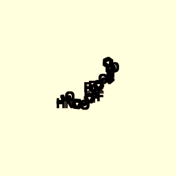 C=CC(=C)C(=O)Nc1ccc(Oc2ccc(C(c3ccc(O[C@@H]4CC=C4N4COc5ccccc5C4)cc3)(C(F)(F)F)C(F)(F)F)cc2)cc1